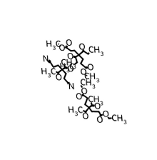 CC(=O)C(CCC#N)(CCC#N)C(C)=O.CCC(=O)C(CCC(=O)OC)(CCC(=O)OC)C(=O)CC.CCOC(=O)CCC(CCC(=O)OCC)(C(C)=O)C(C)=O